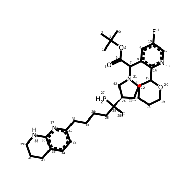 CC(C)(C)OC(=O)C(c1cc(F)cnc1C1CCCCO1)N1CC[C@@H](C(F)(P)CCCCc2ccc3c(n2)NCCC3)C1